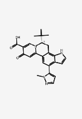 Cn1nccc1-c1cc2c(c3[nH]ccc13)C[C@@H](C(C)(C)C)n1cc(C(=O)O)c(=O)cc1-2